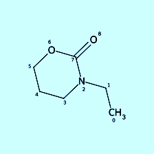 CCN1CCCOC1=O